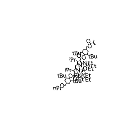 C=C(C)C(=O)OCC1CC(C(C)(C)C)C(OC(=O)c2c(N(C)C(=O)C(CC)(CC)CC)[nH]c(/C=C3\N=C(NC(=O)C(CC)(CC)CC)C(C(=O)OC4C(C(C)(C)C)CC(COCCC)CC4C(C)(C)C)=C3C(C)C)c2C(C)C)C(C(C)(C)C)C1